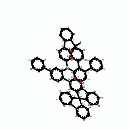 CC1(C)c2ccccc2-c2ccc(N(c3cc(-c4ccccc4)ccc3-c3ccc4c(c3)C3(c5ccccc5-c5ccccc53)c3ccccc3-4)c3cccc(-c4ccccc4)c3-c3ccccc3)cc21